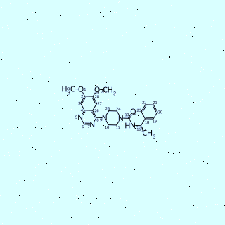 COc1cc2ncnc(N3CCN(C(=O)N[C@H](C)c4ccccc4)CC3)c2cc1OC